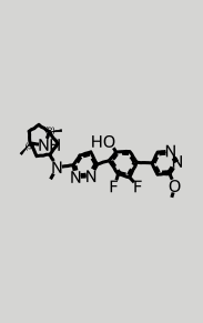 COc1cc(-c2cc(O)c(-c3ccc(N(C)C4C[C@]5(C)CC[C@](C)(C4)N5)nn3)c(F)c2F)cnn1